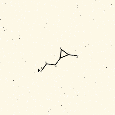 [CH2]C1CC1CCBr